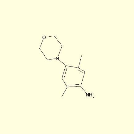 Cc1cc(N2CCOCC2)c(C)cc1N